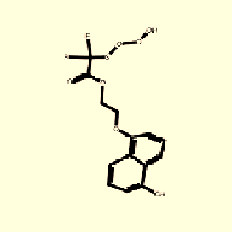 O=C(OCCOc1cccc2c(O)cccc12)C(F)(F)SOOO